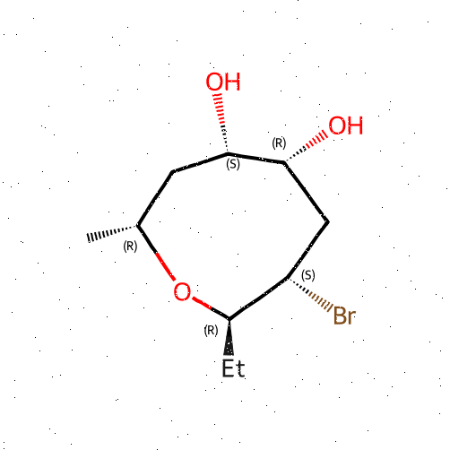 CC[C@H]1O[C@H](C)C[C@H](O)[C@H](O)C[C@@H]1Br